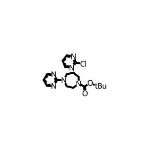 CC(C)(C)OC(=O)N1CCCN(c2ncccn2)CC1.Clc1ncccn1